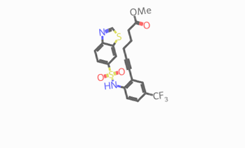 COC(=O)CCCC#Cc1cc(C(F)(F)F)ccc1NS(=O)(=O)c1ccc2ncsc2c1